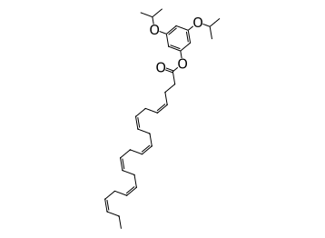 CC/C=C\C/C=C\C/C=C\C/C=C\C/C=C\C/C=C\CCC(=O)Oc1cc(OC(C)C)cc(OC(C)C)c1